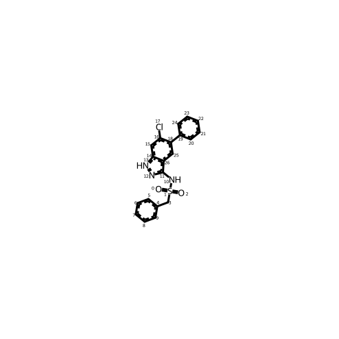 O=S(=O)(Cc1ccccc1)Nc1n[nH]c2cc(Cl)c(-c3ccccc3)cc12